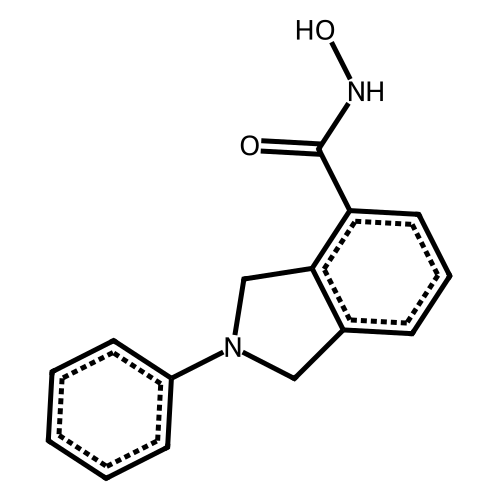 O=C(NO)c1cccc2c1CN(c1ccccc1)C2